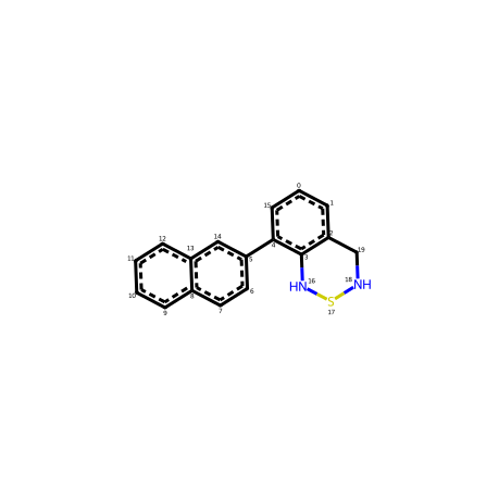 c1cc2c(c(-c3ccc4ccccc4c3)c1)NSNC2